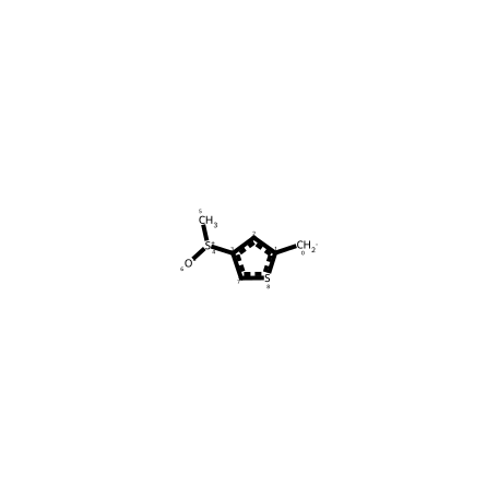 [CH2]c1cc([S+](C)[O-])cs1